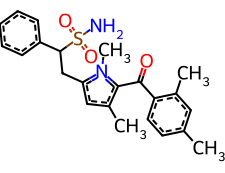 Cc1ccc(C(=O)c2c(C)cc(CC(c3ccccc3)S(N)(=O)=O)n2C)c(C)c1